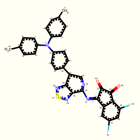 Cc1ccc(N(c2ccc(C)cc2)c2ccc(-c3cnc(/N=c4\c(=O)c(=O)c5c(F)cc(F)cc45)c4nsnc34)cc2)cc1